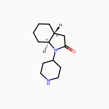 O=C1C[C@H]2CCCC[C@@H]2N1C1CCNCC1